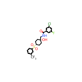 O=C(NC[C@]1(O)CC[C@@H](S(=O)(=O)c2cccc(C(F)(F)F)c2)CC1)c1cc(F)cc(Cl)c1